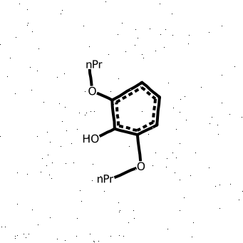 CCCOc1cccc(OCCC)c1O